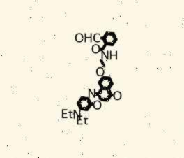 CCN(CC)c1ccc2nc3c4cc(OCCNC(=O)c5ccccc5C=O)ccc4c(=O)cc-3oc2c1